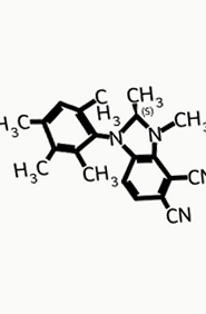 Cc1cc(C)c(N2c3ccc(C#N)c(C#N)c3N(C)[C@@H]2C)c(C)c1C